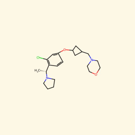 C[C@H](c1ccc(OC2CC(CN3CCOCC3)C2)cc1Cl)N1CCCC1